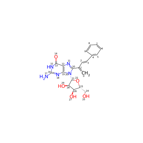 C=C(/C=C/c1ccccc1)c1nc2c(=O)[nH]c(N)nc2n1[C@@H]1O[C@H](CO)[C@@H](O)[C@H]1O